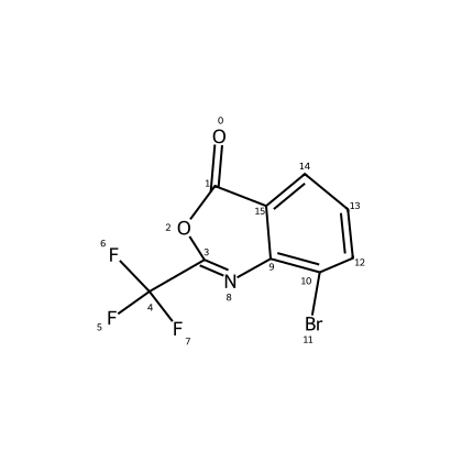 O=c1oc(C(F)(F)F)nc2c(Br)cccc12